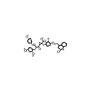 COC(=O)[C@@]1(Cc2ccc(OCCc3cc(Cl)nc4ccccc34)c(F)c2)CC1C(=O)N(Cc1ccc(OC)cc1OC)OCc1ccc(OC)cc1